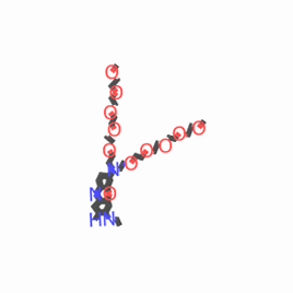 CCNc1cc2oc3cc(=[N+](CCOCCOCCOCCOCCOC)CCOCCOCCOCCOCCOC)ccc-3nc2cc1C